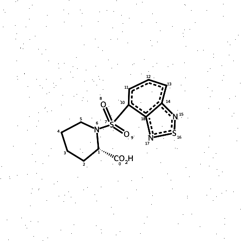 O=C(O)[C@@H]1CCCCN1S(=O)(=O)c1cccc2nsnc12